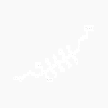 O=C(O)C=CCC(F)(F)C(F)(F)C(F)(F)C(F)(F)C(O)(O)C=CC(=O)O